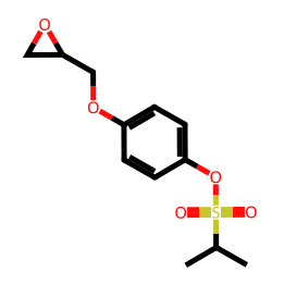 CC(C)S(=O)(=O)Oc1ccc(OCC2CO2)cc1